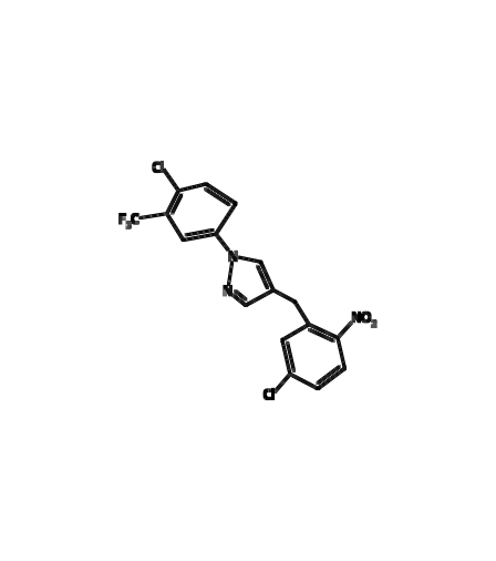 O=[N+]([O-])c1ccc(Cl)cc1Cc1cnn(-c2ccc(Cl)c(C(F)(F)F)c2)c1